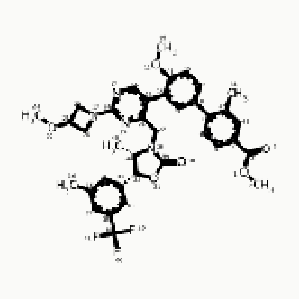 COC(=O)c1ccc(-c2ccc(OC)c(-c3cnc(N4CC(OC)C4)nc3CN3C(=O)O[C@H](c4cc(C)cc(C(F)(F)F)c4)[C@@H]3C)c2)c(C)c1